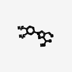 Cc1ccc(-n2cc(C=O)c(C(=O)O)n2)cc1C